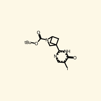 CC(C)(C)OC(=O)N1CC2(c3ncc(I)c(=O)[nH]3)CC1C2